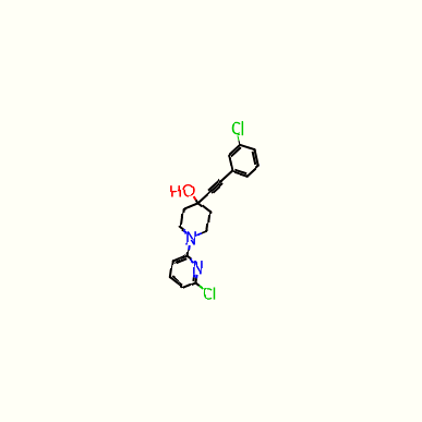 OC1(C#Cc2cccc(Cl)c2)CCN(c2cccc(Cl)n2)CC1